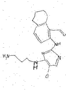 NCCCNc1nc(Nc2ccc3c(c2C=O)CCCC3)ncc1Cl